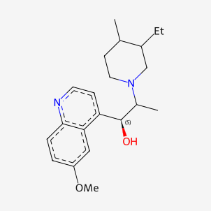 CCC1CN(C(C)[C@@H](O)c2ccnc3ccc(OC)cc23)CCC1C